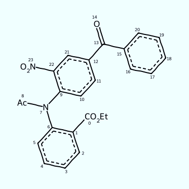 CCOC(=O)c1ccccc1N(C(C)=O)c1ccc(C(=O)c2ccccc2)cc1[N+](=O)[O-]